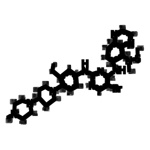 CCc1cc(Nc2ncc(Br)c(Nc3ccc4nccnc4c3N(C)SC)n2)ccc1N1CCC(N2CCN(C)CC2)CC1